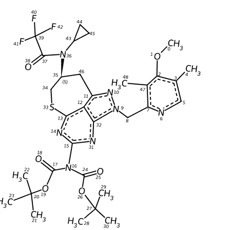 COc1c(C)cnc(Cn2nc3c4c(nc(N(C(=O)OC(C)(C)C)C(=O)OC(C)(C)C)nc42)SC[C@@H](N(C(=O)C(F)(F)F)C2CC2)C3)c1C